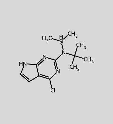 C[SiH](C)N(c1nc(Cl)c2cc[nH]c2n1)C(C)(C)C